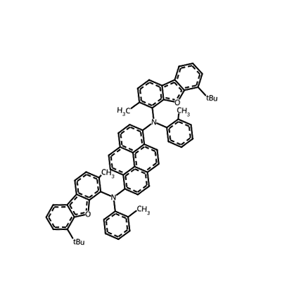 Cc1ccccc1N(c1ccc2ccc3c(N(c4ccccc4C)c4c(C)ccc5c4oc4c(C(C)(C)C)cccc45)ccc4ccc1c2c43)c1c(C)ccc2c1oc1c(C(C)(C)C)cccc12